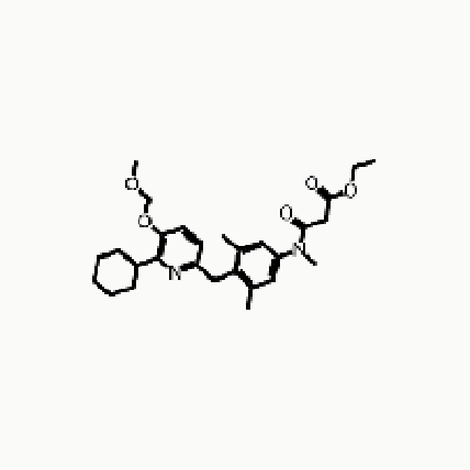 CCOC(=O)CC(=O)N(C)c1cc(C)c(Cc2ccc(OCOC)c(C3CCCCC3)n2)c(C)c1